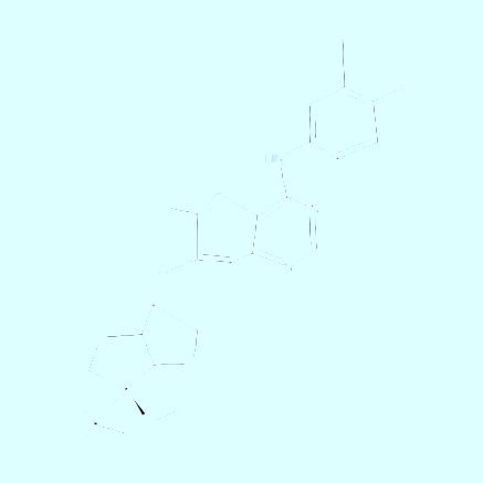 CO[C@@]1(C(F)(F)F)COC2C1OC[C@H]2Oc1cc2ncnc(Nc3ccc(Br)c(Cl)c3)c2cc1O